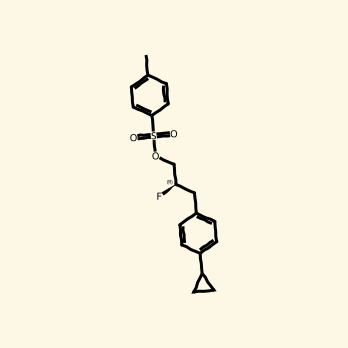 Cc1ccc(S(=O)(=O)OC[C@H](F)Cc2ccc(C3CC3)cc2)cc1